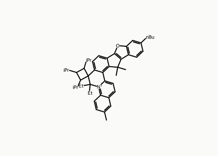 CCCCc1ccc2c3c(oc2c1)-c1ccc2c(c1C3(C)C)-c1ccc3cc(C)ccc3[n+]1C(CC)(CC)C21C(C(C)C)C(C(C)C)C1C(C)C